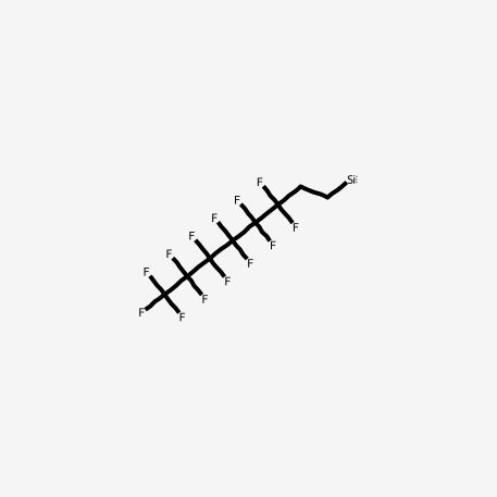 FC(F)(F)C(F)(F)C(F)(F)C(F)(F)C(F)(F)C(F)(F)CC[Si]